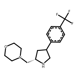 FC(F)(F)c1ccc(C2CN[C@H](CN3CCOCC3)C2)cc1